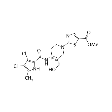 COC(=O)c1cnc(N2CC[C@@H](NC(=O)c3[nH]c(C)c(Cl)c3Cl)[C@@H](CO)C2)s1